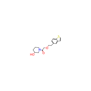 O=C(COCCc1ccc2sccc2c1)N1CCCC(O)C1